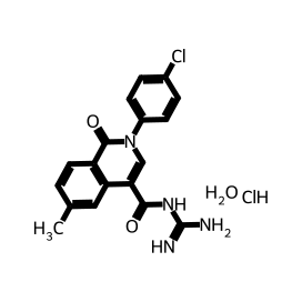 Cc1ccc2c(=O)n(-c3ccc(Cl)cc3)cc(C(=O)NC(=N)N)c2c1.Cl.O